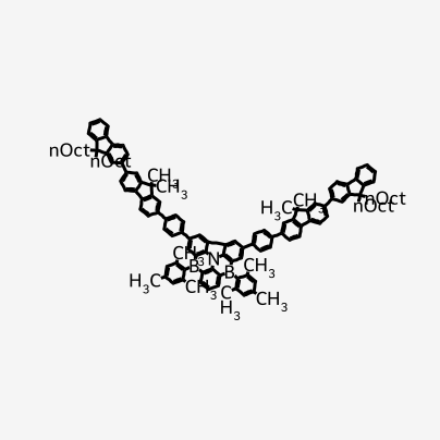 CCCCCCCCC1(CCCCCCCC)c2ccccc2-c2ccc(-c3ccc4c(c3)C(C)(C)c3cc(-c5ccc(-c6cc7c8c(c6)c6cc(-c9ccc(-c%10ccc%11c(c%10)C(C)(C)c%10cc(-c%12ccc%13c(c%12)C(CCCCCCCC)(CCCCCCCC)c%12ccccc%12-%13)ccc%10-%11)cc9)cc9c6n8-c6c(cccc6B9c6c(C)cc(C)cc6C)B7c6c(C)cc(C)cc6C)cc5)ccc3-4)cc21